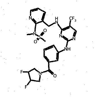 CN(c1ncccc1CNc1nc(Nc2cccc(C(=O)N3CC(F)C(F)C3)c2)ncc1C(F)(F)F)S(C)(=O)=O